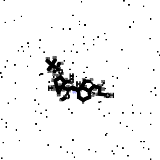 CO[C@H](/C=C1\CCC[C@]2(C)[C@@H]([C@H](C)CO)CC[C@@H]12)[C@]12C[C@H]1C[C@H](O[Si](C)(C)C(C)(C)C)C2O